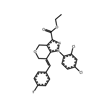 CCOC(=O)c1nn(-c2ccc(Cl)cc2Cl)c2c1COCC2=Cc1ccc(F)cc1